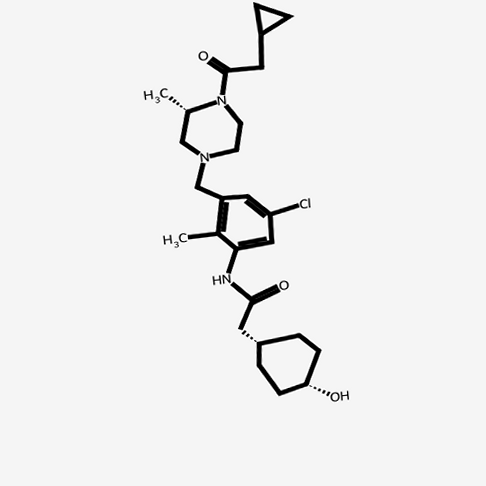 Cc1c(CN2CCN(C(=O)CC3CC3)[C@@H](C)C2)cc(Cl)cc1NC(=O)C[C@H]1CC[C@@H](O)CC1